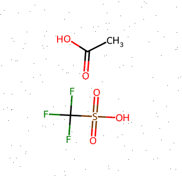 CC(=O)O.O=S(=O)(O)C(F)(F)F